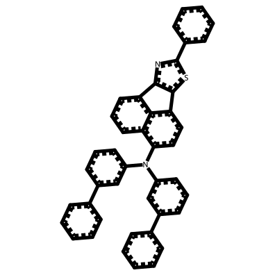 c1ccc(-c2cccc(N(c3cccc(-c4ccccc4)c3)c3ccc4c5c(cccc35)-c3nc(-c5ccccc5)sc3-4)c2)cc1